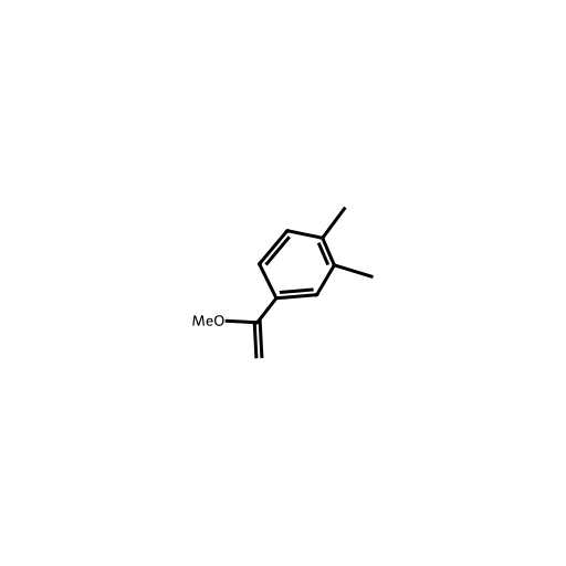 C=C(OC)c1ccc(C)c(C)c1